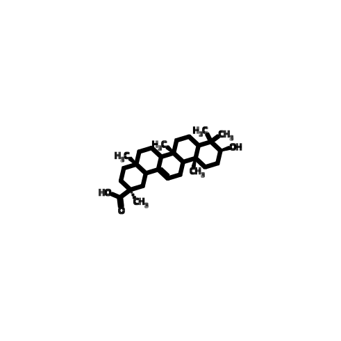 CC1(C)C2CC[C@@]3(C)C4CC[C@@]5(C)CC[C@](C)(C(=O)O)CC5C4=CCC3[C@@]2(C)CC[C@@H]1O